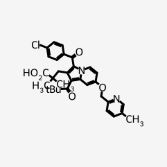 Cc1ccc(COc2ccn3c(C(=O)c4ccc(Cl)cc4)c(CC(C)(C)C(=O)O)c(C(=O)C(C)(C)C)c3c2)nc1